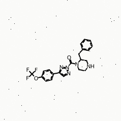 O=C(N1CCNCC1Cc1ccccc1)n1ncc(-c2ccc(OC(F)(F)F)cc2)n1